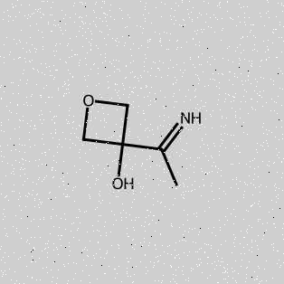 CC(=N)C1(O)COC1